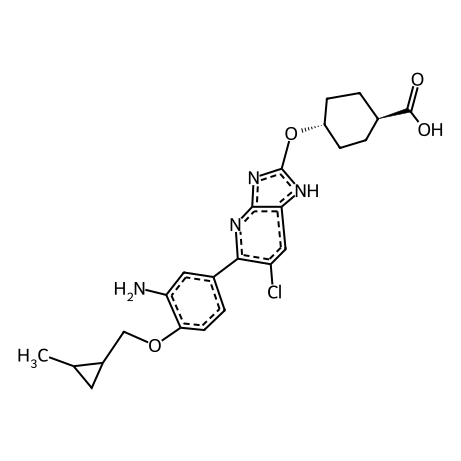 CC1CC1COc1ccc(-c2nc3nc(O[C@H]4CC[C@H](C(=O)O)CC4)[nH]c3cc2Cl)cc1N